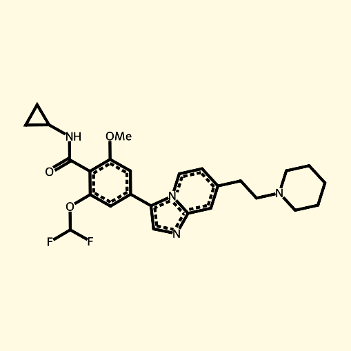 COc1cc(-c2cnc3cc(CCN4CCCCC4)ccn23)cc(OC(F)F)c1C(=O)NC1CC1